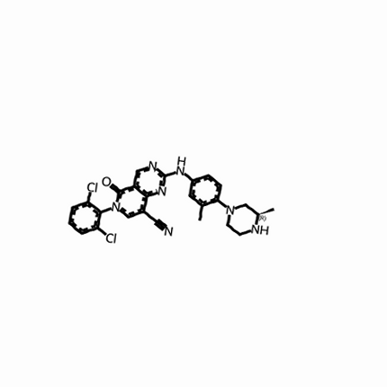 Cc1cc(Nc2ncc3c(=O)n(-c4c(Cl)cccc4Cl)cc(C#N)c3n2)ccc1N1CCN[C@H](C)C1